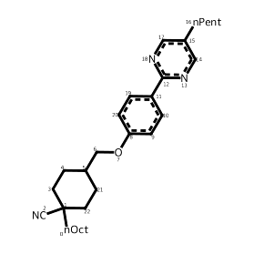 CCCCCCCCC1(C#N)CCC(COc2ccc(-c3ncc(CCCCC)cn3)cc2)CC1